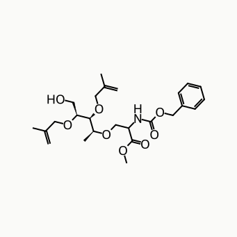 C=C(C)CO[C@@H]([C@H](C)OCC(NC(=O)OCc1ccccc1)C(=O)OC)[C@H](CO)OCC(=C)C